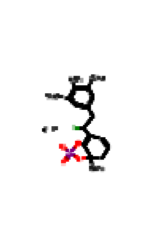 COc1cc(CC(F)C2=CC(OC)(OP(=O)([O-])[O-])CC=C2)cc(OC)c1OC.[K+].[K+]